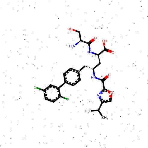 CC(C)c1coc(C(=O)N[C@H](Cc2ccc(-c3cc(Cl)ccc3F)cc2)C[C@@H](NC(=O)[C@@H](N)CO)C(=O)O)n1